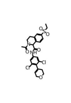 CCS(=O)(=O)c1ccc2c(c1)CCN(C(C)=O)C2C(=O)Nc1cc(Cl)c(C2=CCOCC2)c(Cl)c1